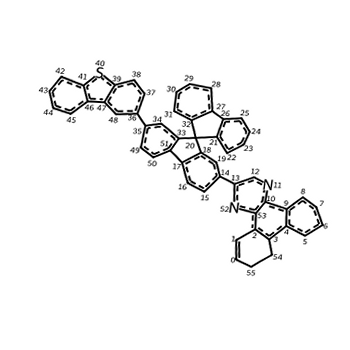 C1=Cc2c(c3ccccc3c3ncc(-c4ccc5c(c4)C4(c6ccccc6-c6ccccc64)c4cc(-c6ccc7sc8ccccc8c7c6)ccc4-5)nc23)CC1